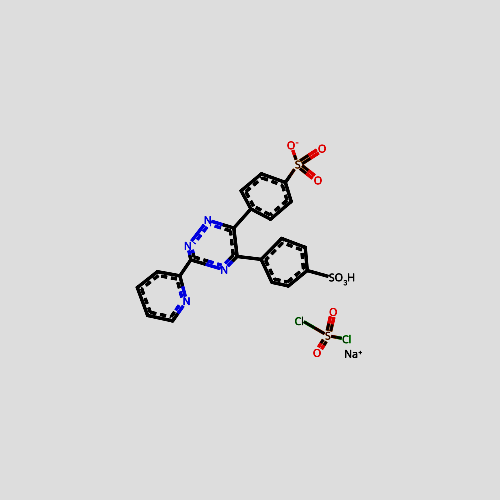 O=S(=O)(Cl)Cl.O=S(=O)([O-])c1ccc(-c2nnc(-c3ccccn3)nc2-c2ccc(S(=O)(=O)O)cc2)cc1.[Na+]